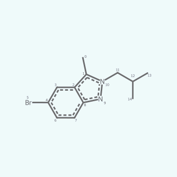 Cc1c2cc(Br)ccc2nn1CC(C)C